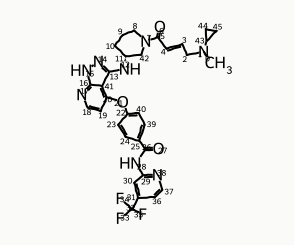 CN(C/C=C/C(=O)N1CCC[C@@H](Nc2n[nH]c3nccc(Oc4ccc(C(=O)Nc5cc(C(F)(F)F)ccn5)cc4)c23)C1)C1CC1